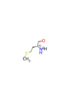 [2H]N[C@H](C=O)CCSC